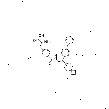 N[C@H](Cc1ccc(C(=O)NC[C@@H](c2ccc(-c3ccccc3)cc2)C2CCC3(CCC3)CC2)cc1)C(=O)O